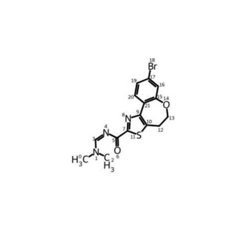 CN(C)/C=N\C(=O)c1nc2c(s1)CCOc1cc(Br)ccc1-2